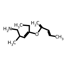 C=C(/C=C/C)O/C(=C/C(C)CN)CC